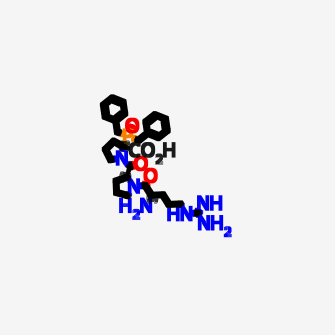 N=C(N)NCCC[C@H](N)C(=O)N1CCC[C@H]1C(=O)N1CCC[C@]1(C(=O)O)P(=O)(Cc1ccccc1)Cc1ccccc1